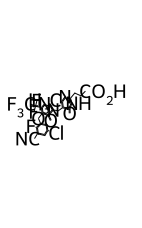 Cc1nc(CCC(=O)O)[nH]c(=O)c1Cn1cnc(C(F)(F)C(F)(F)F)c(Oc2cc(Cl)cc(C#N)c2F)c1=O